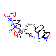 COc1ccc2c3conc3c(=O)n(CCN[C@H]3CC[C@H]4[C@@H](C3)OC(=O)N4c3ccc4c(n3)NC(=O)CO4)c2c1